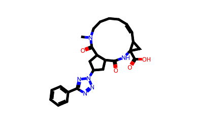 CN1CCCC/C=C\C2CC2(C(=O)O)NC(=O)C2CC(n3nnc(-c4ccccc4)n3)CC2C1=O